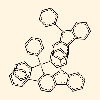 c1ccc(-c2ccc3c4ccccc4n(-c4ccc5c(c4)c4ccccc4n5-c4ccccc4)c3c2[Si](c2ccccc2)(c2ccccc2)c2ccccc2)cc1